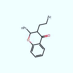 CCCC1Oc2ccccc2C(=O)C1CCC(C)=O